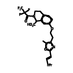 CCCC=Cc1nc(CCOc2ccc3c(c2)C(C(=O)O)N(C(=O)C(F)(F)C(F)(F)F)CC3)c(C)o1